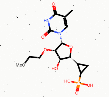 COCCO[C@@H]1[C@H](O)[C@@H](C2CC2P(=O)(O)O)O[C@H]1n1cc(C)c(=O)[nH]c1=O